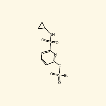 CCS(=O)(=O)Oc1cccc(S(=O)(=O)NC2CC2)n1